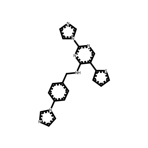 c1csc(-c2cnc(-n3ccnc3)nc2NCc2ccc(-n3ccnc3)cc2)c1